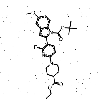 CCOC(=O)C1CCN(c2ccc(-c3cc4cc(OC)ccc4n3C(=O)OC(C)(C)C)c(F)n2)CC1